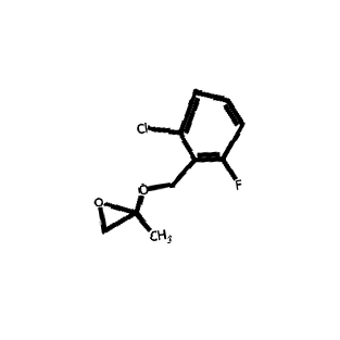 CC1(OCc2c(F)cccc2Cl)CO1